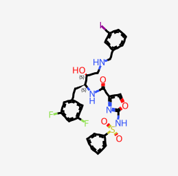 O=C(N[C@@H](Cc1cc(F)cc(F)c1)[C@@H](O)CNCc1cccc(I)c1)c1coc(NS(=O)(=O)c2ccccc2)n1